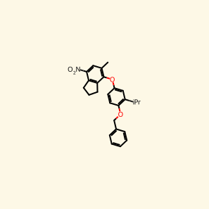 Cc1cc([N+](=O)[O-])c2c(c1Oc1ccc(OCc3ccccc3)c(C(C)C)c1)CCC2